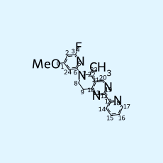 COc1cc(F)nc(N2CCc3nc(-c4ccccn4)ncc3C2C)c1